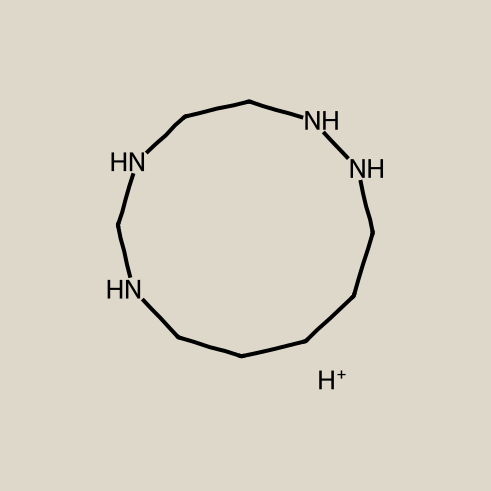 C1CCNCNCCNNCC1.[H+]